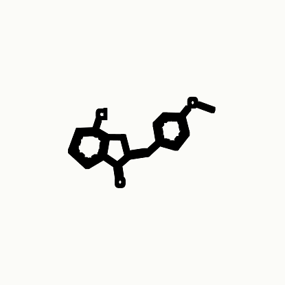 COc1ccc(/C=C2\Cc3c(Cl)cccc3C2=O)cc1